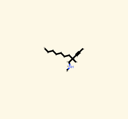 CC#CC(C)(CCCCCCC)CNC